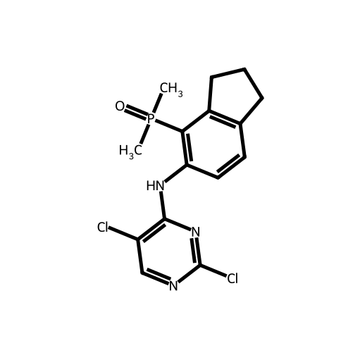 CP(C)(=O)c1c(Nc2nc(Cl)ncc2Cl)ccc2c1CCC2